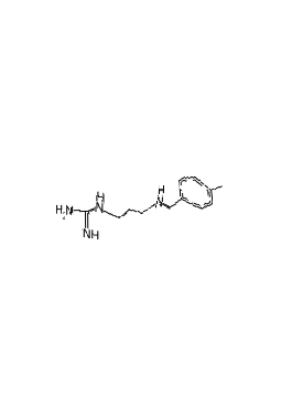 Cc1ccc(CNCCCNC(=N)N)cc1